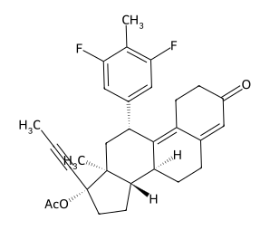 CC#C[C@]1(OC(C)=O)CC[C@H]2[C@@H]3CCC4=CC(=O)CCC4=C3[C@@H](c3cc(F)c(C)c(F)c3)C[C@@]21C